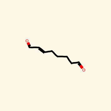 O=CC=CCCCCC=O